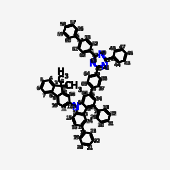 CC1(C)c2ccccc2-c2ccc(-n3c4ccc(-c5ccccc5)cc4c4c(-c5ccccc5)cc(-c5ccc(-c6nc(-c7ccccc7)nc(-c7ccc(-c8ccccc8)cc7)n6)cc5)cc43)cc21